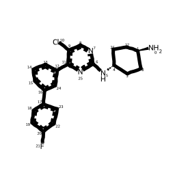 N[C@H]1CC[C@H](Nc2ncc(Cl)c(-c3cccc(-c4ccc(F)cc4)c3)n2)CC1